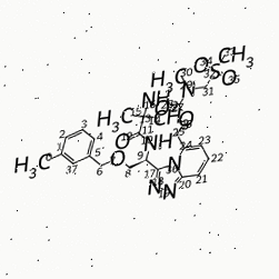 Cc1cccc(COC[C@@H](NC(=O)C(C)(C)N)c2nnc3cccc(COC(=O)N(C)CS(C)(=O)=O)n23)c1